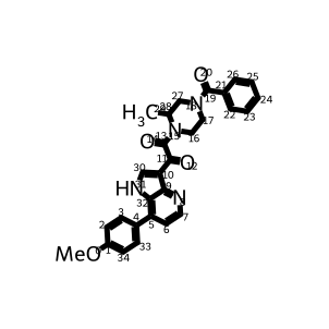 COc1ccc(-c2ccnc3c(C(=O)C(=O)N4CCN(C(=O)c5ccccc5)CC4C)c[nH]c23)cc1